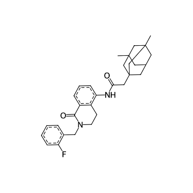 CC12CC3CC(C)(C1)CC(CC(=O)Nc1cccc4c1CCN(Cc1ccccc1F)C4=O)(C3)C2